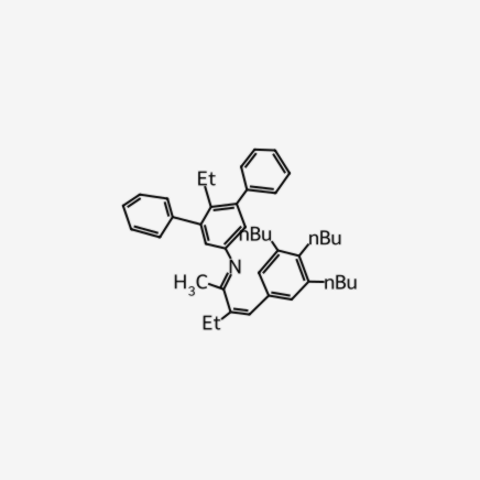 CCCCc1cc(C=C(CC)C(C)=Nc2cc(-c3ccccc3)c(CC)c(-c3ccccc3)c2)cc(CCCC)c1CCCC